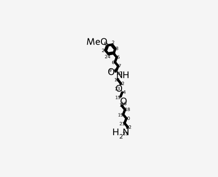 COc1ccc(CCCC(=O)NCCOCCOCCCCCCN)cc1